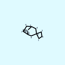 C1CC2(C1)CC1CCC(C2)N1